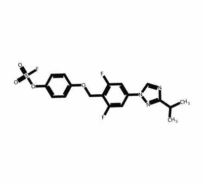 CC(C)c1ncn(-c2cc(F)c(COc3ccc(OS(=O)(=O)F)cc3)c(F)c2)n1